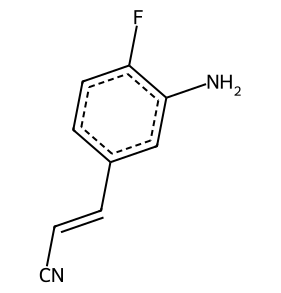 N#C/C=C/c1ccc(F)c(N)c1